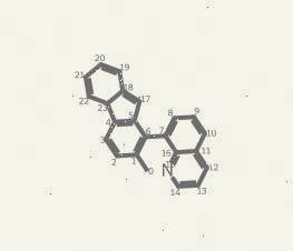 Cc1ccc2c(c1-c1cccc3cccnc13)[C]=C1C=CC=CC12